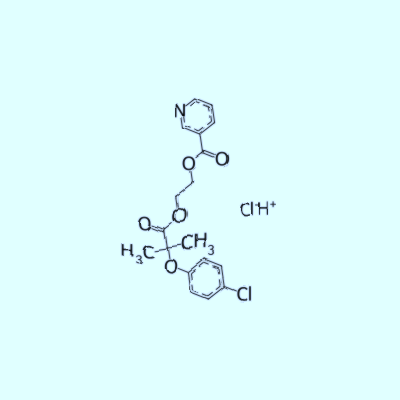 CC(C)(Oc1ccc(Cl)cc1)C(=O)OCCOC(=O)c1cccnc1.[Cl-].[H+]